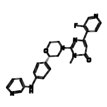 Cn1c(N2CCO[C@@H](c3ccc(Nc4cccnc4)cc3)C2)nc(-c2ccncc2F)cc1=O